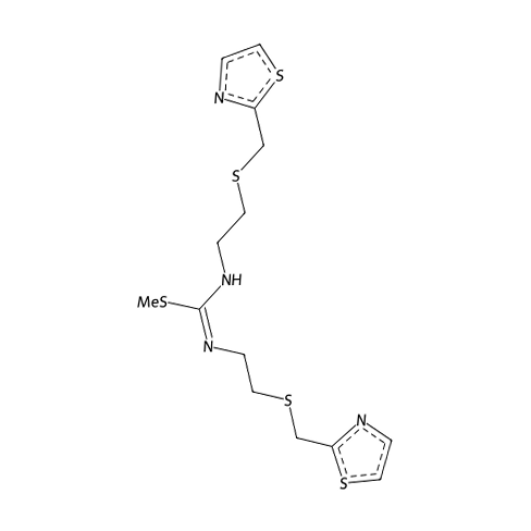 CSC(=NCCSCc1nccs1)NCCSCc1nccs1